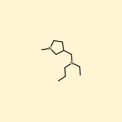 CCCN(CC)CC1CCN(C)C1